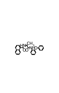 C[C@H](NC(=O)c1cccc2ccccc12)C(=O)Nc1ccccc1Oc1ccccc1